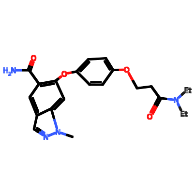 CCN(CC)C(=O)CCOc1ccc(Oc2cc3c(cnn3C)cc2C(N)=O)cc1